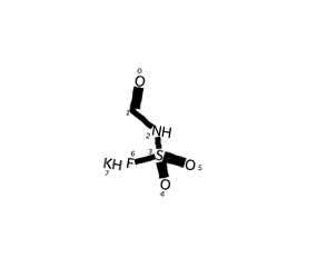 O=CNS(=O)(=O)F.[KH]